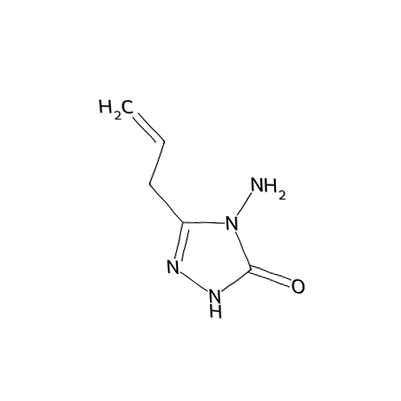 C=CCc1n[nH]c(=O)n1N